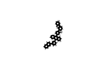 c1cc(-c2ccc3ccccc3c2)cc(-c2c3ccccc3c(-c3ccc4c(c3)oc3ccc5c6ccccc6sc5c34)c3ccccc23)c1